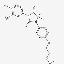 CC1(C)C(=O)N(c2ccc(C#N)c(C(F)(F)F)c2)C(=S)N1c1ccc(OCCO[Si](C)(C)C(C)(C)C)nc1